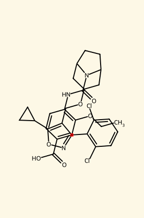 CCOc1cc(C(=O)O)ccc1NC(=O)N1C2CCC1CC(OCc1c(-c3c(Cl)cccc3Cl)noc1C1CC1)C2